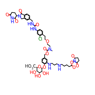 CN(CCOCCc1ccc(NC(=O)NCc2ccc3c(c2)CN(C2CCC(=O)NC2=O)C3=O)cc1Cl)C(=O)OCc1ccc(O[C@@H]2O[C@H](C(=O)O)[C@@H](O)[C@H](O)[C@H]2O)c(NCCCNCCCCC(=O)ON2C(=O)CCC2=O)c1